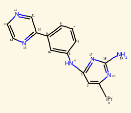 CC(C)c1cc(Nc2cccc(-c3cnccn3)c2)nc(N)n1